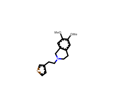 COc1cc2c(cc1OC)CN(CCc1ccsc1)CC2